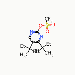 CCC(C)(CC)c1cnc(OS(=O)(=O)C(F)(F)F)nc1C(C)(CC)CC